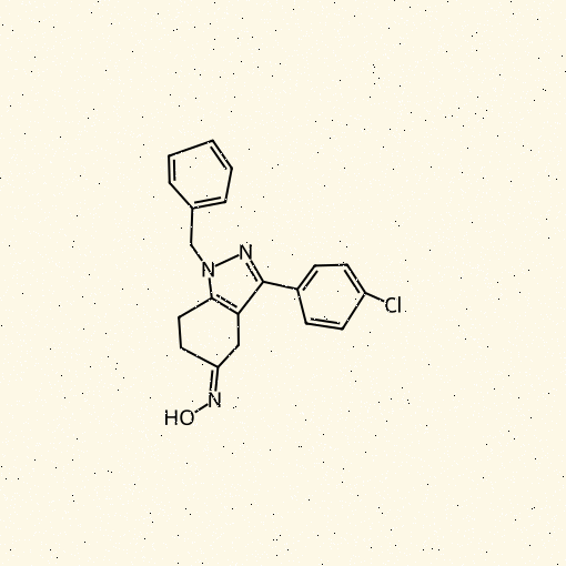 ON=C1CCc2c(c(-c3ccc(Cl)cc3)nn2Cc2ccccc2)C1